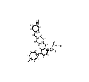 CCCCCCC.CN1C=CN(c2ccc(C(F)(F)F)c(CN3CCN(Cc4ccc(Cl)cc4)CC3)c2)C=CC1